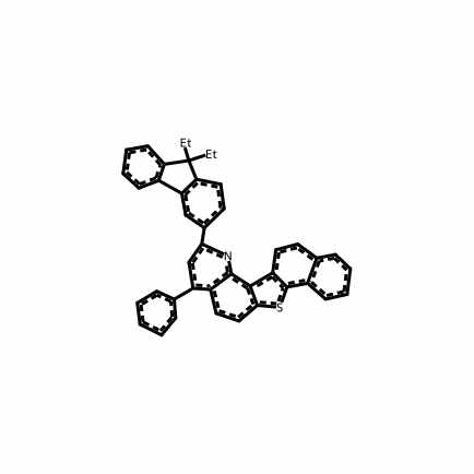 CCC1(CC)c2ccccc2-c2cc(-c3cc(-c4ccccc4)c4ccc5sc6c7ccccc7ccc6c5c4n3)ccc21